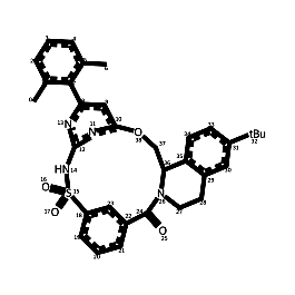 Cc1cccc(C)c1-c1cc2nc(n1)NS(=O)(=O)c1cccc(c1)C(=O)N1CCc3cc(C(C)(C)C)ccc3C1CO2